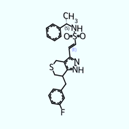 C[C@H](NS(=O)(=O)/C=C/c1n[nH]c2c1CSCC2Cc1cccc(F)c1)c1ccccc1